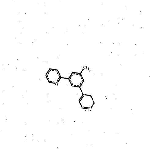 Cc1cc(C2=CC=NCC2)cc(-c2ccccn2)c1